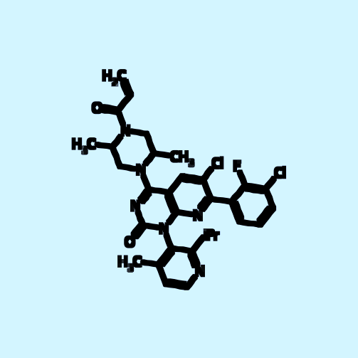 C=CC(=O)N1CC(C)N(c2nc(=O)n(-c3c(C)ccnc3C(C)C)c3nc(-c4cccc(Cl)c4F)c(Cl)cc23)CC1C